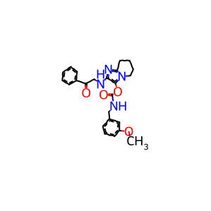 COc1cccc(CNC(=O)Oc2c(NCC(=O)c3ccccc3)nc3n2CCCC3)c1